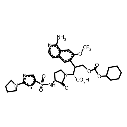 Nc1nccc2cc(C(COC(=O)OC3CCCCC3)[C@H](C(=O)O)N3CC[C@H](NS(=O)(=O)c4cnc(N5CCCC5)s4)C3=O)c(OC(F)(F)F)cc12